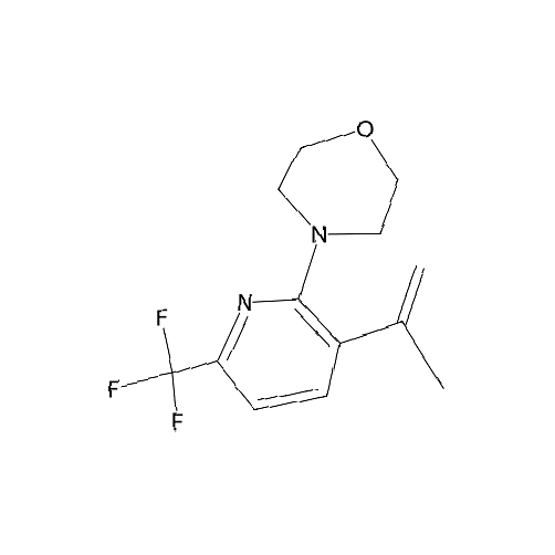 C=C(C)c1ccc(C(F)(F)F)nc1N1CCOCC1